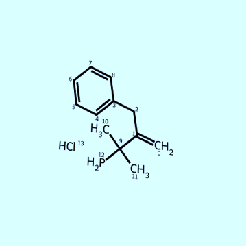 C=C(Cc1ccccc1)C(C)(C)P.Cl